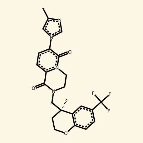 Cc1cn(-c2ccc3n(c2=O)CCN(C[C@]2(C)CCOc4ccc(C(F)(F)F)cc42)C3=O)cn1